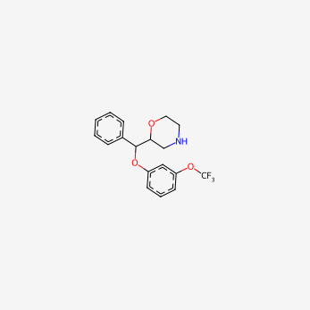 FC(F)(F)Oc1cccc(OC(c2ccccc2)C2CNCCO2)c1